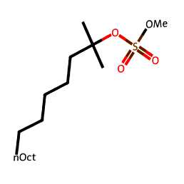 CCCCCCCCCCCCCC(C)(C)OS(=O)(=O)OC